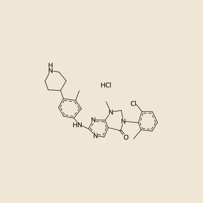 Cc1cc(Nc2ncc3c(n2)N(C)CN(c2c(C)cccc2Cl)C3=O)ccc1C1CCNCC1.Cl